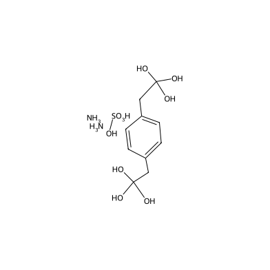 N.N.O=S(=O)(O)O.OC(O)(O)Cc1ccc(CC(O)(O)O)cc1